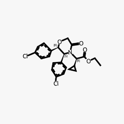 CCOC(=O)[C@@H](C1CC1)N1C(=O)CO[C@H](c2ccc(Cl)cc2)[C@@H]1c1ccc(Cl)cc1